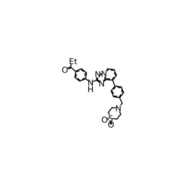 CCC(=O)c1ccc(Nc2nc3c(-c4ccc(CN5CCS(=O)(=O)CC5)cc4)cccn3n2)cc1